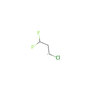 FC(F)C[CH]Cl